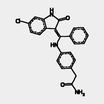 NC(=O)Cc1ccc(NC(=C2C(=O)Nc3cc(Cl)ccc32)c2ccccc2)cc1